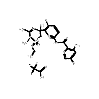 Cc1cc(F)cnc1C(=O)Nc1ccc(F)c([C@]2(C)C[S@@](=O)(=NCC(F)(F)F)N(C)C(N)=N2)n1.O=C(O)C(F)(F)F